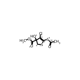 COC(=O)C1(O)CSC(SC(C)=O)=C1Cl